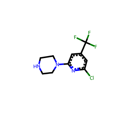 FC(F)(F)c1cc(Cl)nc(N2CCNCC2)c1